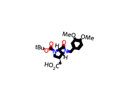 COc1ccc(CN2C(=O)[C@H]3[C@H]2[C@H](CC(=O)O)CN3C(=O)OC(C)(C)C)cc1OC